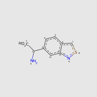 NC(C(=O)O)c1ccc2csnc2c1